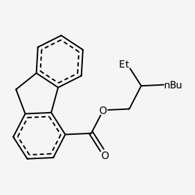 CCCCC(CC)COC(=O)c1cccc2c1-c1ccccc1C2